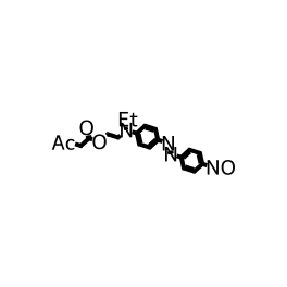 CCN(CCOC(=O)CC(C)=O)c1ccc(/N=N/c2ccc(N=O)cc2)cc1